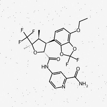 CCOc1ccc([C@H]2[C@H](C(=O)Nc3ccnc(C(N)=O)c3)O[C@@](C)(C(F)(F)F)[C@H]2C)c2c1OC(F)(F)O2